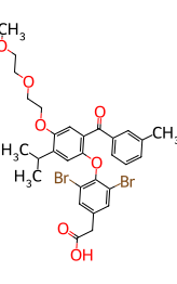 COCCOCCOc1cc(C(=O)c2cccc(C)c2)c(Oc2c(Br)cc(CC(=O)O)cc2Br)cc1C(C)C